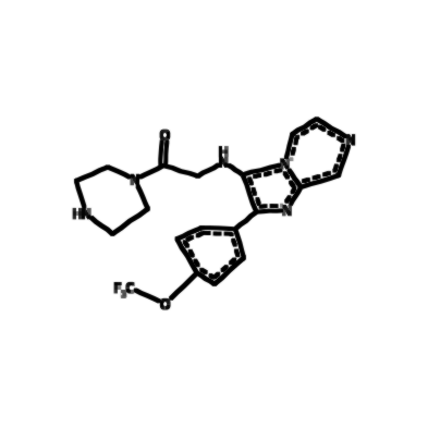 O=C(CNc1c(-c2ccc(OC(F)(F)F)cc2)nc2cnccn12)N1CCNCC1